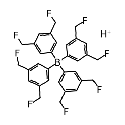 FCc1cc(CF)cc([B-](c2cc(CF)cc(CF)c2)(c2cc(CF)cc(CF)c2)c2cc(CF)cc(CF)c2)c1.[H+]